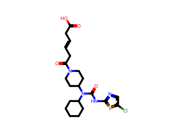 O=C(O)C/C=C/CC(=O)N1CCC(N(C(=O)Nc2ncc(Cl)s2)C2CCCCC2)CC1